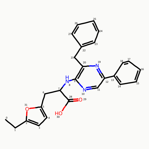 CCc1ccc(CC(Nc2ncc(-c3ccccc3)nc2Cc2ccccc2)C(=O)O)o1